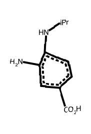 CC(C)Nc1ccc(C(=O)O)cc1N